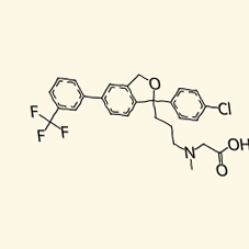 CN(CCCC1(c2ccc(Cl)cc2)OCc2cc(-c3cccc(C(F)(F)F)c3)ccc21)CC(=O)O